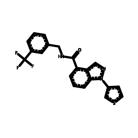 O=C(NCc1cccc(C(F)(F)F)c1)c1cccc2c1cnn2-c1ccsc1